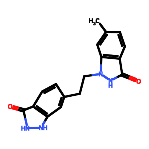 Cc1ccc2c(=O)[nH]n(CCc3ccc4c(=O)[nH][nH]c4c3)c2c1